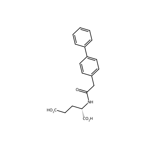 O=C(O)CC[C@H](NC(=O)Cc1ccc(-c2ccccc2)cc1)C(=O)O